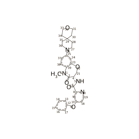 CN1C(=O)[C@@H](NC(=O)c2cc(Oc3ccccc3)ccn2)COc2cc(N3CCC4(CCOCC4)CC3)ccc21